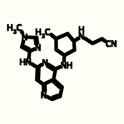 CC1CC(NCCC#N)CC(Nc2nc(Nc3cn(C)cn3)cc3ncccc23)C1